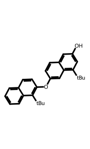 CC(C)(C)c1cc(O)cc2ccc(Oc3ccc4ccccc4c3C(C)(C)C)cc12